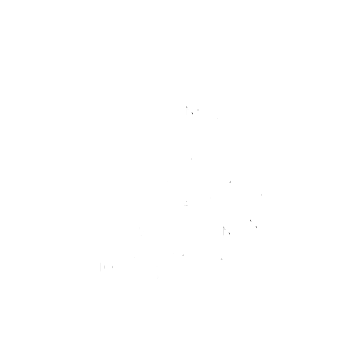 CN(C)CCOC(c1ccc(O)s1)c1ccnn1C